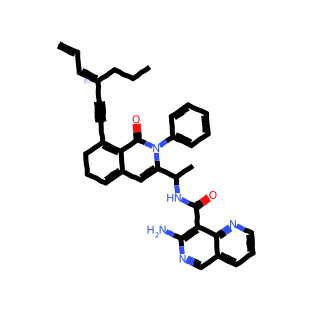 C=C/C=C(/C#CC1=c2c(cc(C(C)NC(=O)c3c(N)ncc4cccnc34)n(-c3ccccc3)c2=O)=CCC1)CCC